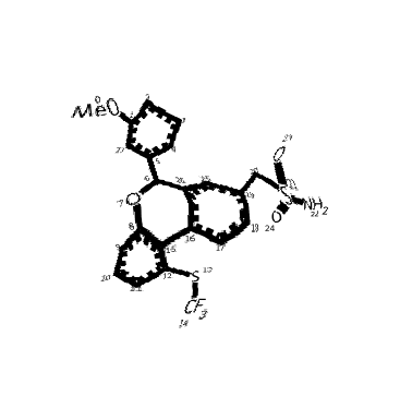 COc1cccc(C2Oc3cccc(SC(F)(F)F)c3-c3ccc(CS(N)(=O)=O)cc32)c1